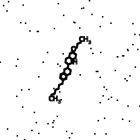 CCCCCCCc1ccc2c(c1)CCC(C1CCC3C[C@H](OCCCC)CC[C@@H]3C1)C2